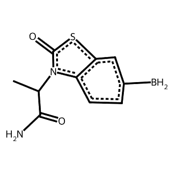 Bc1ccc2c(c1)sc(=O)n2C(C)C(N)=O